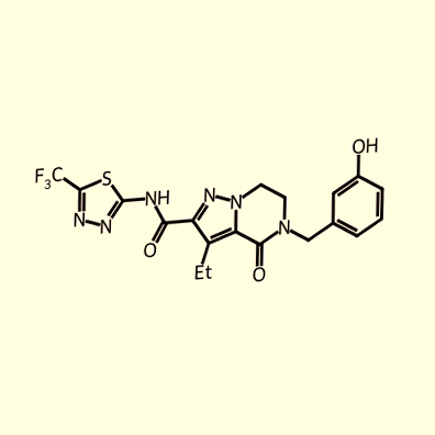 CCc1c(C(=O)Nc2nnc(C(F)(F)F)s2)nn2c1C(=O)N(Cc1cccc(O)c1)CC2